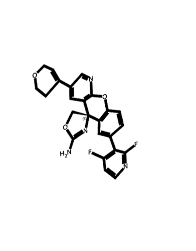 NC1=N[C@@]2(CO1)c1cc(-c3c(F)ccnc3F)ccc1Oc1ncc(C3=CCOCC3)cc12